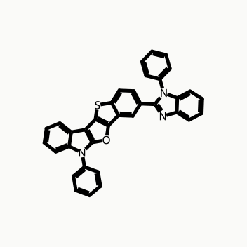 c1ccc(-n2c(-c3ccc4sc5c(oc6c5c5ccccc5n6-c5ccccc5)c4c3)nc3ccccc32)cc1